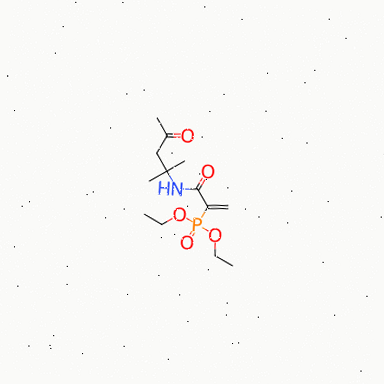 C=C(C(=O)NC(C)(C)CC(C)=O)P(=O)(OCC)OCC